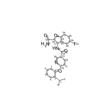 CC(C)c1ccccc1Oc1ccc(C(=O)Nc2c(C(N)=O)oc3ccc(F)cc23)cn1